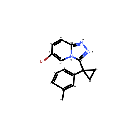 Cc1cccc(C2(c3nnc4ccc(Br)cn34)CC2)c1